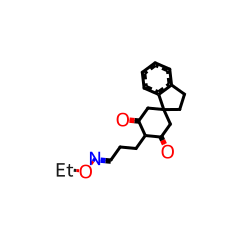 CCON=CCCC1C(=O)CC2(CCc3ccccc32)CC1=O